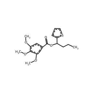 CCCC(OC(=O)c1cc(OC)c(OC)c(OC)c1)c1cccs1